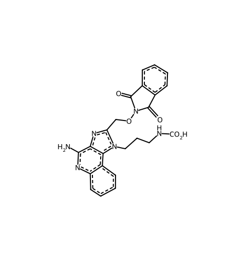 Nc1nc2ccccc2c2c1nc(CON1C(=O)c3ccccc3C1=O)n2CCCNC(=O)O